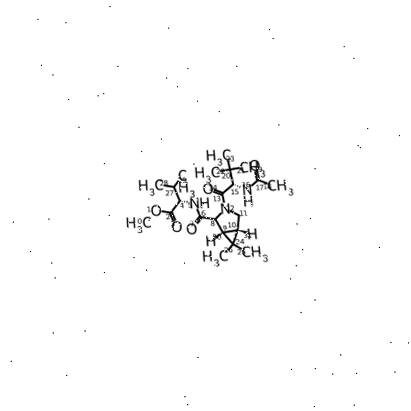 COC(=O)[C@@H](NC(=O)C1[C@@H]2[C@H](CN1C(=O)[C@@H](NC(C)=O)C(C)(C)C)C2(C)C)C(C)C